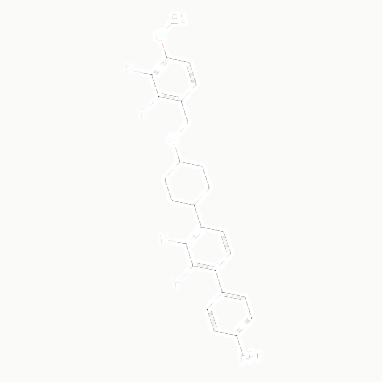 CCCc1ccc(-c2ccc(C3CCC(OCc4ccc(OCC)c(F)c4F)CC3)c(F)c2F)cc1